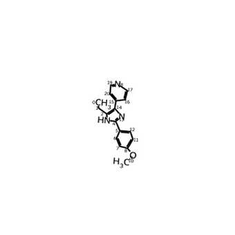 CCc1[nH]c(-c2ccc(OC)cc2)nc1-c1ccncc1